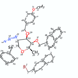 BrCc1ccc2ccccc2c1.COc1ccc(CO[C@@H]2[C@@H](N=[N+]=[N-])[C@@H]([Se]c3ccccc3)O[C@H](C)[C@@H]2OCc2ccc3ccccc3c2)cc1